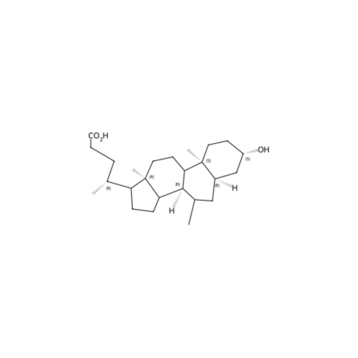 CC1C[C@@H]2C[C@@H](O)CC[C@]2(C)C2CC[C@@]3(C)C(CCC3[C@H](C)CCC(=O)O)[C@H]12